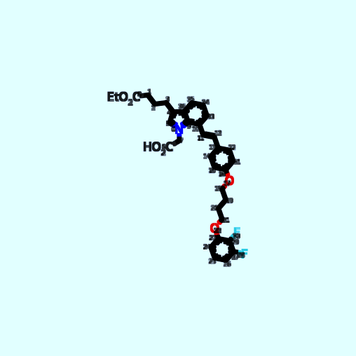 CCOC(=O)CCCc1cn(CC(=O)O)c2c(C=Cc3ccc(OCCCCOc4cccc(F)c4F)cc3)cccc12